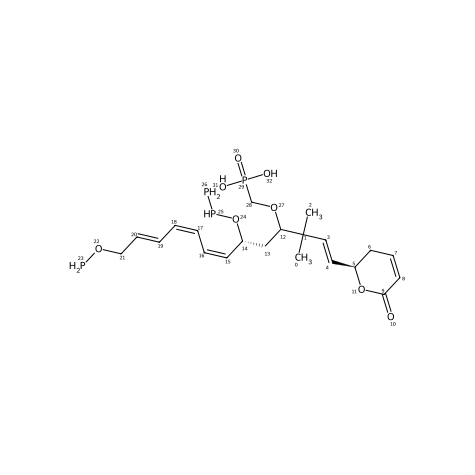 CC(C)(/C=C/[C@H]1CC=CC(=O)O1)C(C[C@H](\C=C/C=C\C=C\COP)OPP)OCP(=O)(O)O